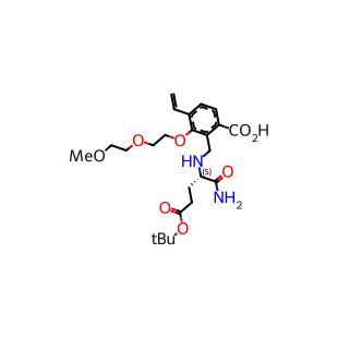 C=Cc1ccc(C(=O)O)c(CN[C@@H](CCC(=O)OC(C)(C)C)C(N)=O)c1OCCOCCOC